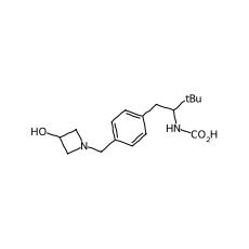 CC(C)(C)C(Cc1ccc(CN2CC(O)C2)cc1)NC(=O)O